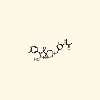 CC(=O)Nc1ncc([C@H](C)N2CCC3(CC2)NC(O)N(c2ccnc(C)c2)C3=O)s1